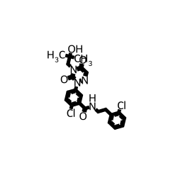 CC(C)(O)Cn1c(=O)cnn(-c2ccc(Cl)c(C(=O)NCCc3ccccc3Cl)c2)c1=O